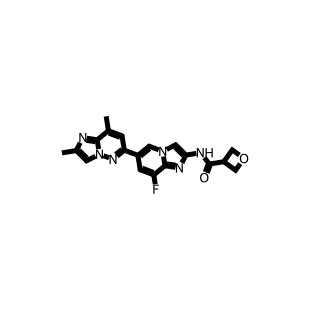 Cc1cn2nc(-c3cc(F)c4nc(NC(=O)C5COC5)cn4c3)cc(C)c2n1